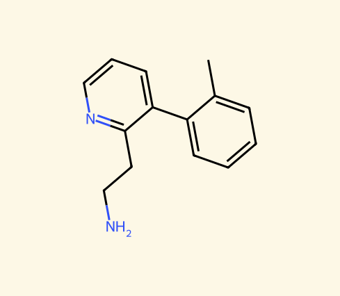 Cc1ccccc1-c1cccnc1CCN